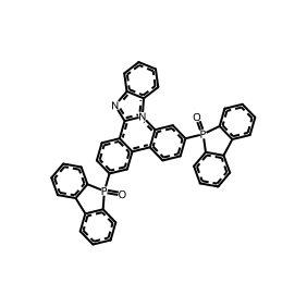 O=P1(c2ccc3c(c2)c2ccc(P4(=O)c5ccccc5-c5ccccc54)cc2n2c4ccccc4nc32)c2ccccc2-c2ccccc21